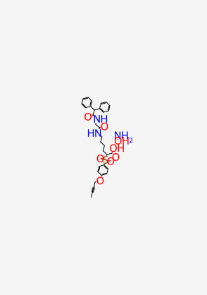 CC#CCOc1ccc(S(=O)(=O)C(CCCCNC(=O)CNC(=O)C(c2ccccc2)c2ccccc2)C(=O)O)cc1.NO